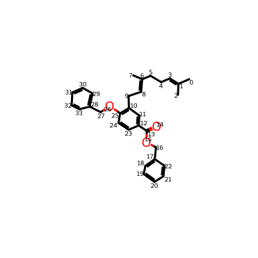 CC(C)=CCC/C(C)=C/Cc1cc(C(=O)OCc2ccccc2)ccc1OCc1ccccc1